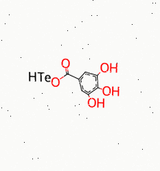 O=C(O[TeH])c1cc(O)c(O)c(O)c1